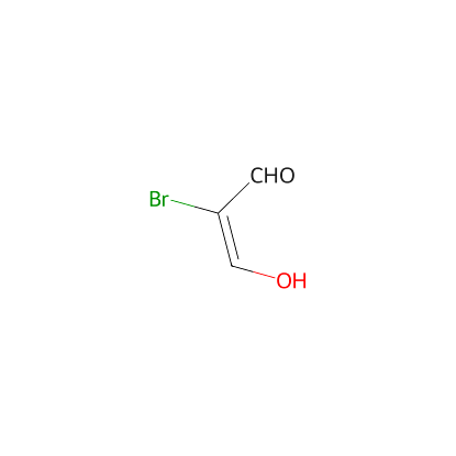 O=C/C(Br)=C\O